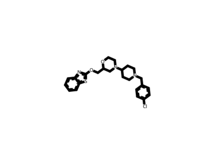 Clc1ccc(CN2CCC(N3CCOC(COc4nc5ccccc5s4)C3)CC2)cc1